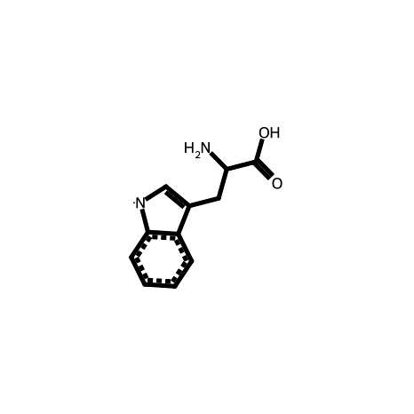 NC(CC1=C[N]c2ccccc21)C(=O)O